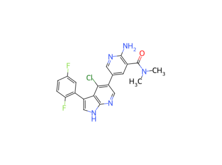 CN(C)C(=O)c1cc(-c2cnc3[nH]cc(-c4cc(F)ccc4F)c3c2Cl)cnc1N